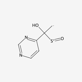 [CH2]C(O)([S+]=O)c1ccncn1